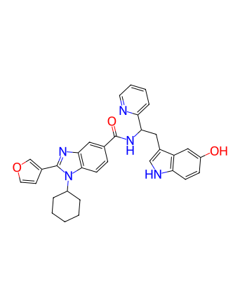 O=C(NC(Cc1c[nH]c2ccc(O)cc12)c1ccccn1)c1ccc2c(c1)nc(-c1ccoc1)n2C1CCCCC1